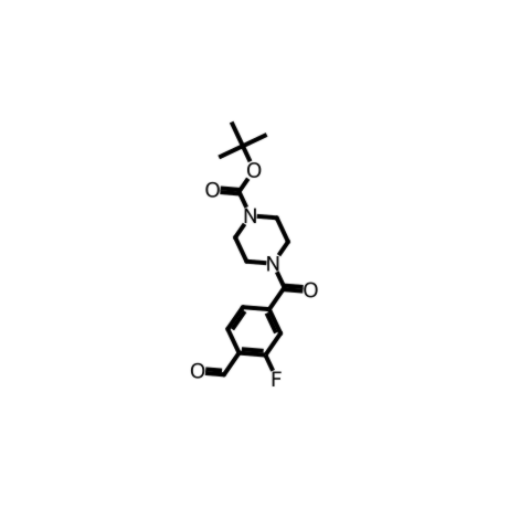 CC(C)(C)OC(=O)N1CCN(C(=O)c2ccc(C=O)c(F)c2)CC1